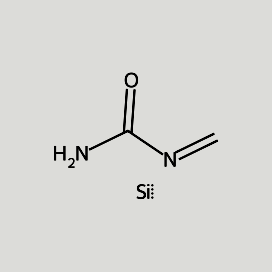 C=NC(N)=O.[Si]